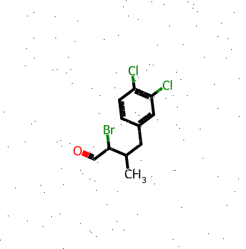 CC(Cc1ccc(Cl)c(Cl)c1)C(Br)C=O